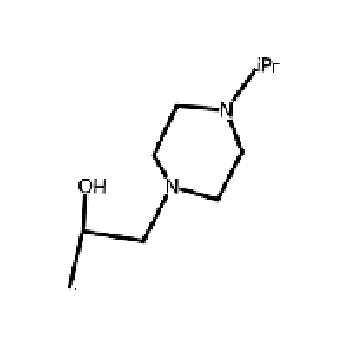 [CH2]C(O)CN1CCN(C(C)C)CC1